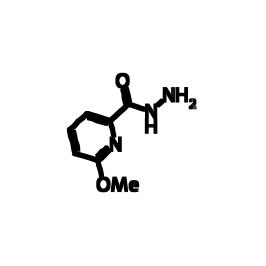 COc1cccc(C(=O)NN)n1